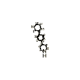 c1cc(C2CCNCC2)ccc1C1CCCCC1